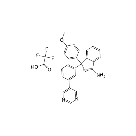 COc1ccc(C2(c3cccc(-c4cncnc4)c3)N=C(N)c3ccccc32)cc1.O=C(O)C(F)(F)F